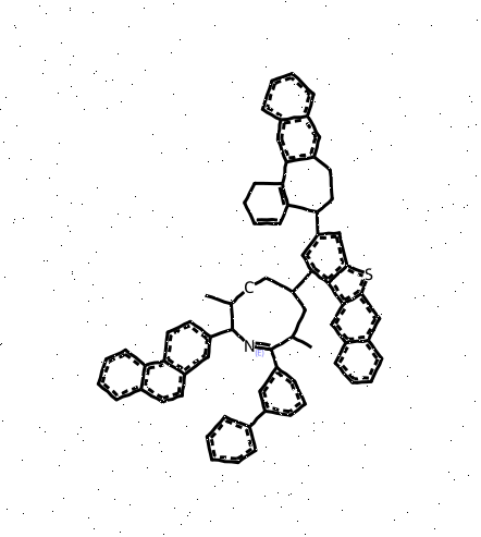 CC1CC(c2cc(C3CCc4cc5ccccc5cc4C4=C3C=CCC4)cc3sc4cc5ccccc5cc4c23)CCC(C)C(c2ccc3c(ccc4ccccc43)c2)/N=C\1c1cccc(-c2ccccc2)c1